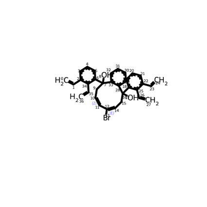 C=Cc1cccc(C2(O)C/C=C\C(Br)=C/CC(O)(c3cccc(C=C)c3C=C)c3ccccc32)c1C=C